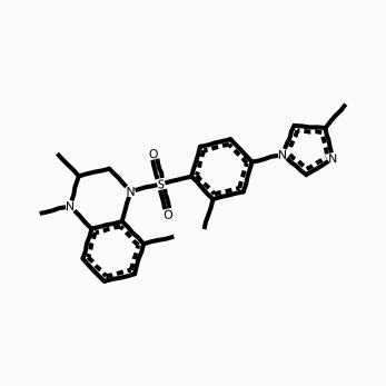 Cc1cn(-c2ccc(S(=O)(=O)N3CC(C)N(C)c4cccc(C)c43)c(C)c2)cn1